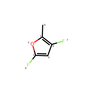 Cc1oc(F)cc1F